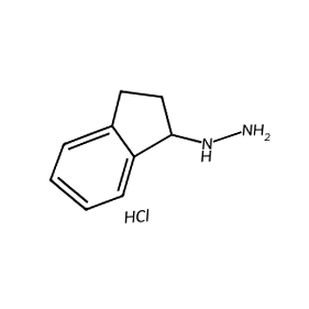 Cl.NNC1CCc2ccccc21